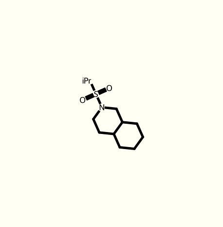 CC(C)S(=O)(=O)N1CCC2CCCCC2C1